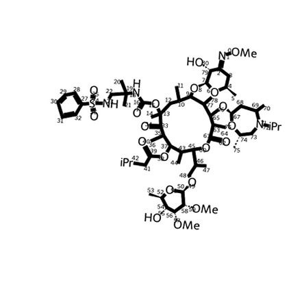 CON=C1C[C@@H](C)O[C@@H](OC2C(C)CC(C)(OC(=O)NC(C)(C)CNS(=O)(=O)c3ccccc3)C(=O)C(C)C(OC(=O)CC(C)C)C(C)C(C(C)CO[C@@H]3O[C@H](C)[C@@H](O)[C@@H](OC)[C@H]3OC)OC(=O)C(C)C(O[C@H]3CC(C)N(C(C)C)C[C@H](C)O3)C2C)[C@@H]1O